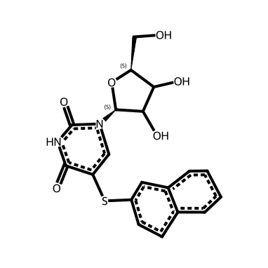 O=c1[nH]c(=O)n([C@H]2O[C@@H](CO)C(O)C2O)cc1Sc1ccc2ccccc2c1